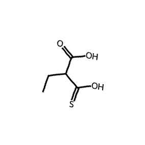 CCC(C(=O)O)C(O)=S